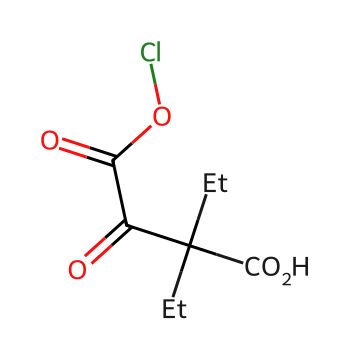 CCC(CC)(C(=O)O)C(=O)C(=O)OCl